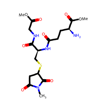 COC(=O)CNC(=O)[C@H](CSC1CC(=O)N(C)C1=O)NC(=O)CC[C@H](N)C(=O)OC